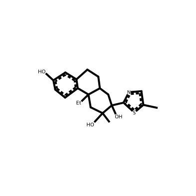 CCC12CC(C)(O)C(O)(c3ncc(C)s3)CC1CCc1cc(O)ccc12